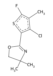 Cc1c(F)sc(C2=NC(C)(C)CO2)c1Cl